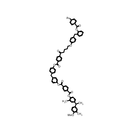 COc1ccc(C(C)c2ccc(OC(=O)c3ccc(C(=O)Oc4ccc(Cc5ccc(OC(=O)c6ccc(C(=O)CCCCOc7ccc(Cc8ccccc8OC(=O)c8ccc(C(C)=O)cc8)cc7)cc6)cc5)cc4)cc3)c(C)c2)cc1C